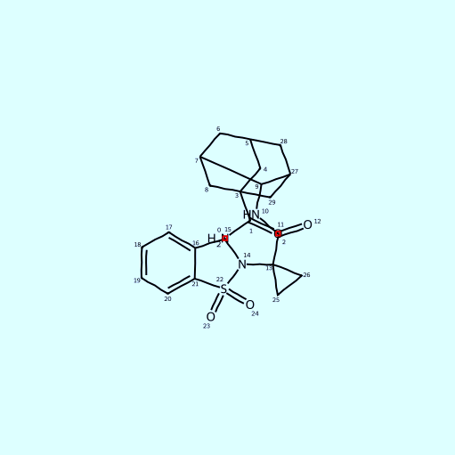 NC(=O)C12CC3CC(C1)C(NC(=O)C1(N4Cc5ccccc5S4(=O)=O)CC1)C(C3)C2